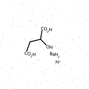 O=C(O)CC(O)C(=O)O.[BaH2].[H+]